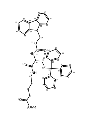 COC(=O)CCCCNC(=O)[C@@H](CSC(c1ccccc1)(c1ccccc1)c1ccccc1)NC(=O)OCC1c2ccccc2-c2ccccc21